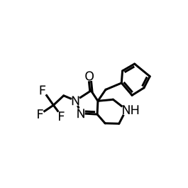 O=C1N(CC(F)(F)F)N=C2CCNCC12Cc1ccccc1